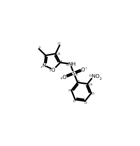 Cc1noc(NS(=O)(=O)c2ccccc2[N+](=O)[O-])c1C